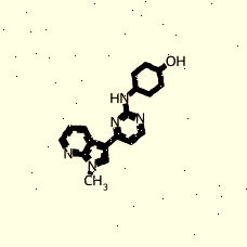 Cn1cc(-c2ccnc(NC3CCC(O)CC3)n2)c2cccnc21